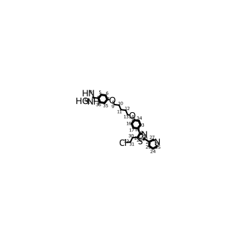 N=C(NO)c1ccc(OCCCCCOc2ccc(-c3nc(-c4cccnc4)sc3CCCl)cc2)cc1